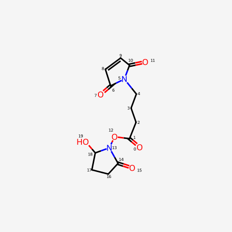 O=C(CCCN1C(=O)C=CC1=O)ON1C(=O)CCC1O